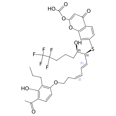 CCCc1c(OCC/C=C\C=C\[C@H](Sc2ccc3c(=O)cc(OC(=O)O)oc3c2)[C@H](O)CCCC(F)(F)C(F)(F)F)ccc(C(C)=O)c1O